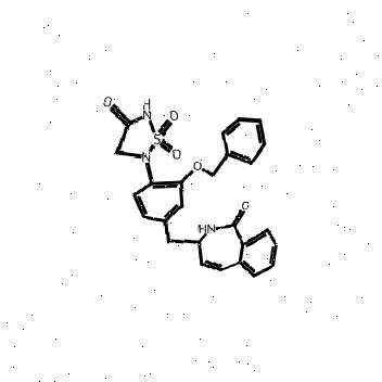 O=C1CN(c2ccc(CC3C=Cc4ccccc4C(=O)N3)cc2OCc2ccccc2)S(=O)(=O)N1